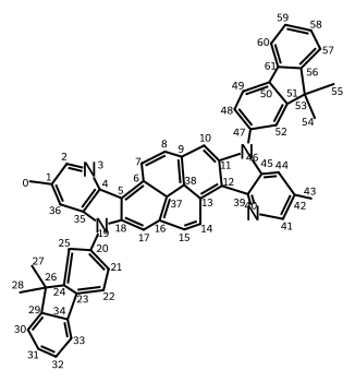 Cc1cnc2c3c4ccc5cc6c(c7ccc(cc3n(-c3ccc8c(c3)C(C)(C)c3ccccc3-8)c2c1)c4c57)c1ncc(C)cc1n6-c1ccc2c(c1)C(C)(C)c1ccccc1-2